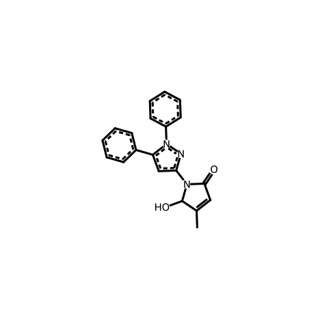 CC1=CC(=O)N(c2cc(-c3ccccc3)n(-c3ccccc3)n2)C1O